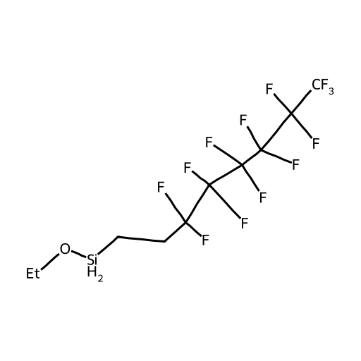 CCO[SiH2]CCC(F)(F)C(F)(F)C(F)(F)C(F)(F)C(F)(F)C(F)(F)F